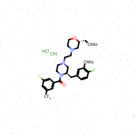 COC[C@@H]1CN(CCN2CCN(C(=O)c3cc(F)cc(C(F)(F)F)c3)[C@H](Cc3ccc(F)c(OC)c3)C2)CCO1.Cl.Cl